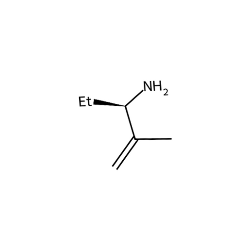 C=C(C)[C@H](N)CC